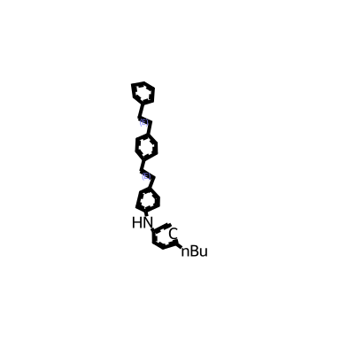 CCCCc1ccc(Nc2ccc(/C=C/c3ccc(/C=C/c4ccccc4)cc3)cc2)cc1